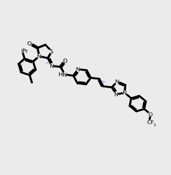 Cc1ccc(C(C)C)c(N2C(=O)CS/C2=N\C(=O)Nc2ccc(/C=C/c3ncn(-c4ccc(OC(F)(F)F)cc4)n3)cn2)c1